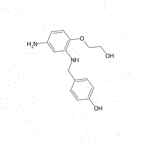 Nc1ccc(OCCO)c(NCc2ccc(O)cc2)c1